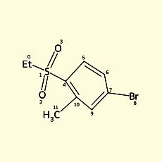 CCS(=O)(=O)c1ccc(Br)cc1C